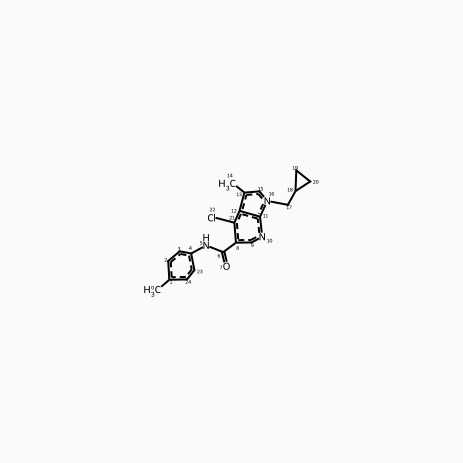 Cc1ccc(NC(=O)c2cnc3c(c(C)cn3CC3CC3)c2Cl)cc1